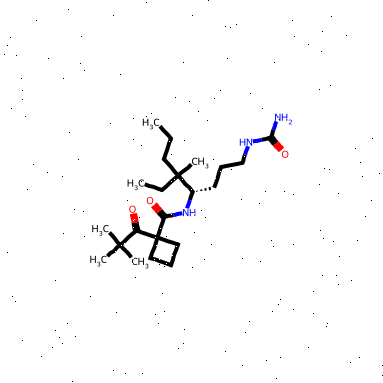 CCCC(C)(CC)[C@H](CCCNC(N)=O)NC(=O)C1(C(=O)C(C)(C)C)CCC1